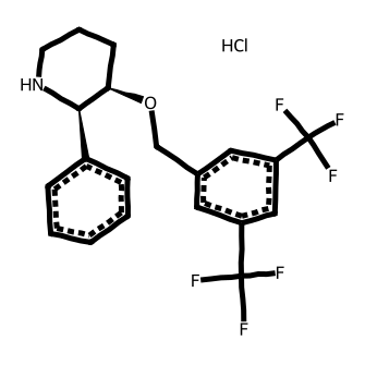 Cl.FC(F)(F)c1cc(CO[C@@H]2CCCN[C@@H]2c2ccccc2)cc(C(F)(F)F)c1